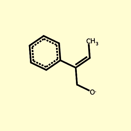 C/C=C(/C[O])c1ccccc1